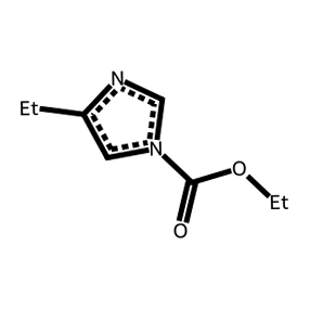 CCOC(=O)n1cnc(CC)c1